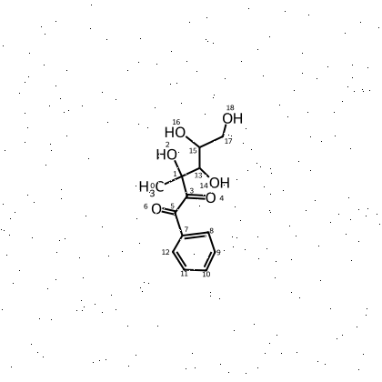 CC(O)(C(=O)C(=O)c1ccccc1)C(O)C(O)CO